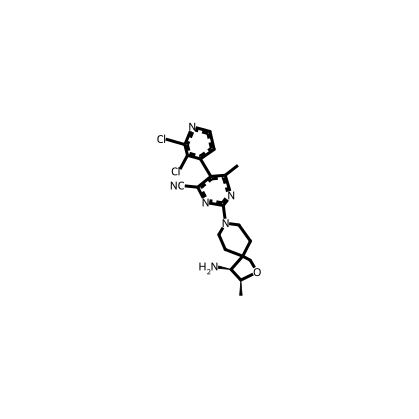 Cc1nc(N2CCC3(CC2)CO[C@@H](C)[C@H]3N)nc(C#N)c1-c1ccnc(Cl)c1Cl